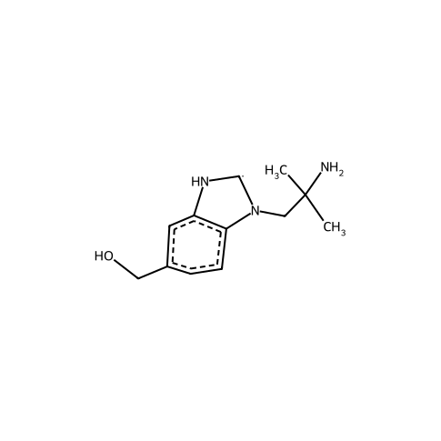 CC(C)(N)CN1[CH]Nc2cc(CO)ccc21